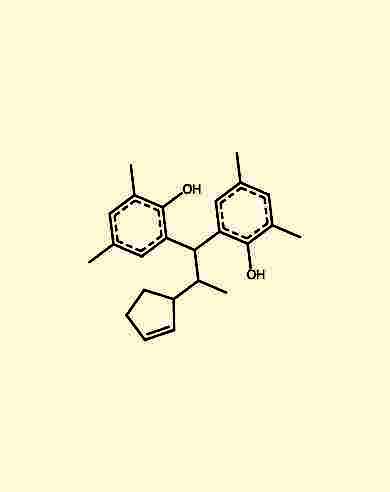 Cc1cc(C)c(O)c(C(c2cc(C)cc(C)c2O)C(C)C2C=CCC2)c1